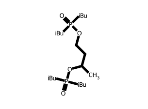 CCC(C)P(=O)(OCCC(C)OP(=O)(C(C)CC)C(C)CC)C(C)CC